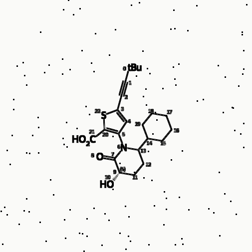 CC(C)(C)C#Cc1cc(N2C(=O)[C@@H](O)CCC2C2CCCCC2)c(C(=O)O)s1